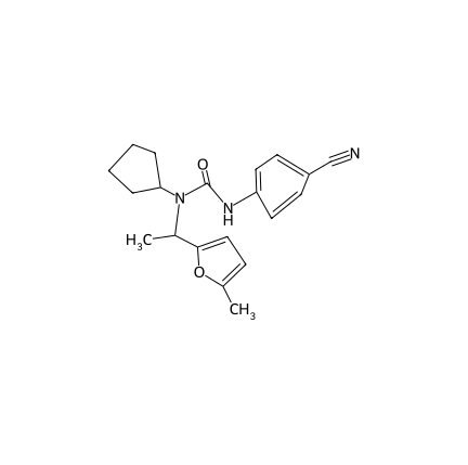 Cc1ccc(C(C)N(C(=O)Nc2ccc(C#N)cc2)C2CCCC2)o1